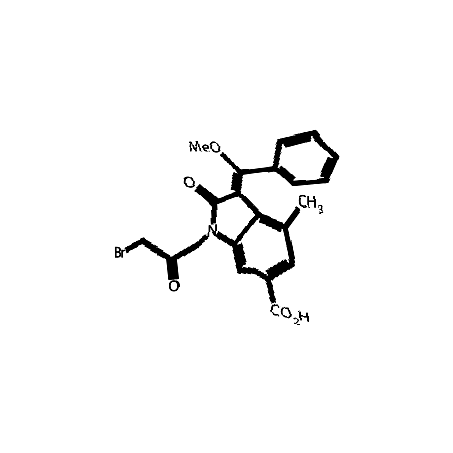 CO/C(=C1\C(=O)N(C(=O)CBr)c2cc(C(=O)O)cc(C)c21)c1ccccc1